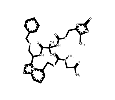 Cc1oc(=O)oc1COC(=O)NC(C)(C)C(=O)NC(COCc1ccccc1)c1nnc2cccc(COC(=O)N(C)CC(N)=O)n12